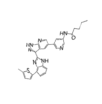 CCCCC(=O)Nc1cncc(-c2cnc3[nH]nc(-c4nc5c(-c6ccc(C)s6)cccc5[nH]4)c3c2)c1